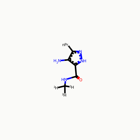 [2H]C([2H])([2H])NC(=O)c1[nH]nc(CCC)c1N